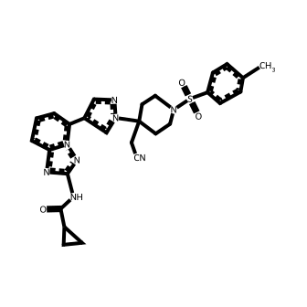 Cc1ccc(S(=O)(=O)N2CCC(CC#N)(n3cc(-c4cccc5nc(NC(=O)C6CC6)nn45)cn3)CC2)cc1